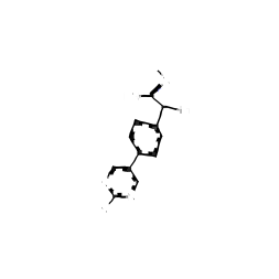 CC(C)C(/C(N)=N/O)c1ccc(-c2cnc(N)nc2)cc1